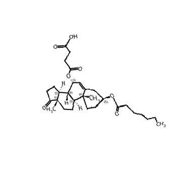 CCCCCCC(=O)O[C@H]1CC[C@@]2(C)C(=C[C@@H](OC(=O)CCC(=O)O)[C@@H]3[C@@H]2CC[C@]2(C)C(=O)CC[C@@H]32)C1